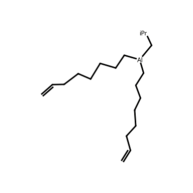 C=CCCCCC[CH2][Al]([CH2]CCCCCC=C)[CH2]C(C)C